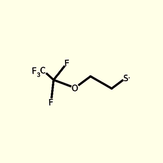 FC(F)(F)C(F)(F)OCC[S]